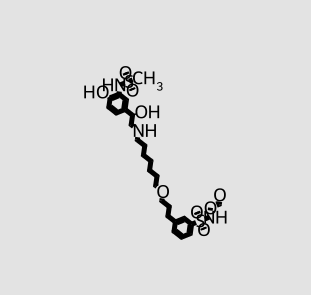 CS(=O)(=O)Nc1cc([C@H](O)CNCCCCCCCOCCCc2cccc(S(=O)(=O)NOC=O)c2)ccc1O